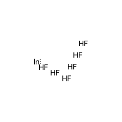 F.F.F.F.F.F.[In]